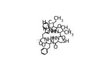 CCC(C)C(N)C(=O)NC(C(=O)NC(CS)C(=O)NC(Cc1ccccc1)C(=O)NC([C]=O)Cc1c[nH]c2ccccc12)C(C)C